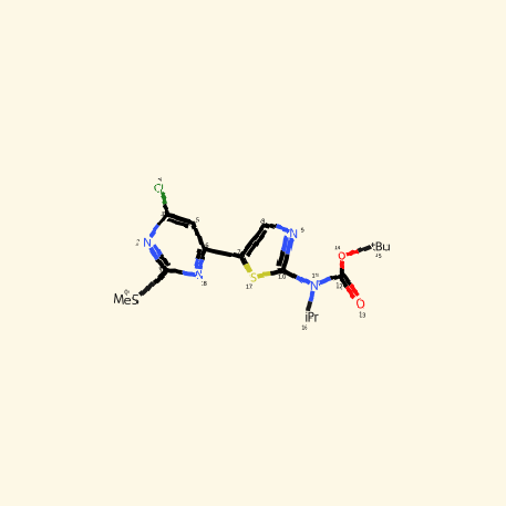 CSc1nc(Cl)cc(-c2cnc(N(C(=O)OC(C)(C)C)C(C)C)s2)n1